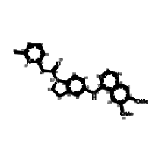 COc1cc2ncnc(Nc3ccc4c(c3)CCN4C(=O)Cc3cccc(C)n3)c2cc1OC